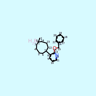 BC1(C)CCCCC(c2cccnc2OCc2ccccc2)CCC1